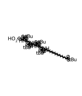 CC(C)(C)OC(=O)CCCCCCCCCCCCCCCCC(=O)NC(CCC(=O)NC(CCC(=O)NC(CCC(=O)NC(CCC(=O)O)C(=O)OC(C)(C)C)C(=O)OC(C)(C)C)C(=O)OC(C)(C)C)C(=O)OC(C)(C)C